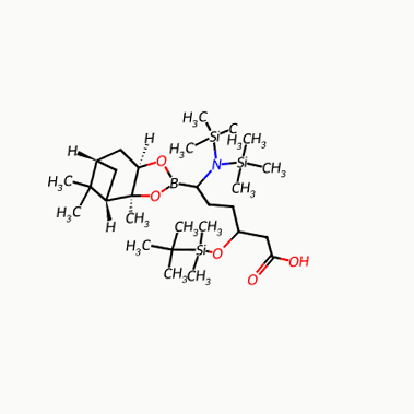 CC1(C)[C@@H]2C[C@H]3OB(C(CCC(CC(=O)O)O[Si](C)(C)C(C)(C)C)N([Si](C)(C)C)[Si](C)(C)C)O[C@@]3(C)[C@H]1C2